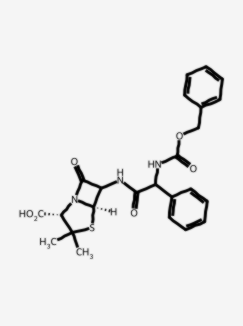 CC1(C)S[C@@H]2C(NC(=O)C(NC(=O)OCc3ccccc3)c3ccccc3)C(=O)N2[C@H]1C(=O)O